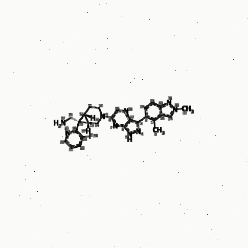 Cc1c(-c2n[nH]c3nc(N4CC[C@@H]5[C@H](C4)[C@@]5(CN)c4ncccc4F)cnc23)ccc2nn(C)cc12